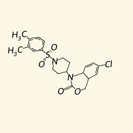 Cc1ccc(S(=O)(=O)N2CCC(N3C(=O)OCC4C=C(Cl)C=CC43)CC2)cc1C